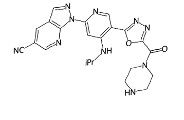 CC(C)Nc1cc(-n2ncc3cc(C#N)cnc32)ncc1-c1nnc(C(=O)N2CCNCC2)o1